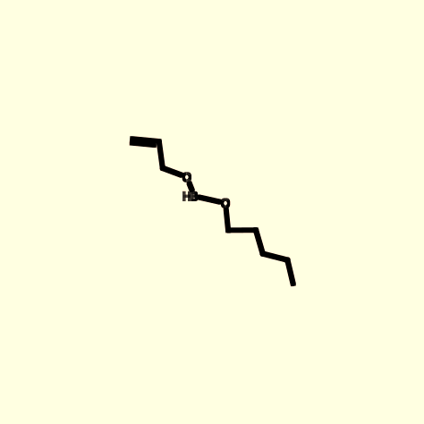 C=CCOBOCCCCC